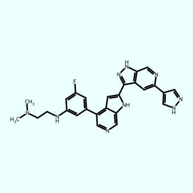 CN(C)CCNc1cc(F)cc(-c2cncc3[nH]c(-c4n[nH]c5cnc(-c6cn[nH]c6)cc45)cc23)c1